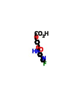 O=C(O)COCC1CCC(COC(=O)Nc2ccc(-c3ccc(F)cn3)cc2)CC1